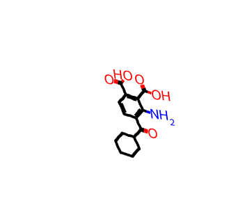 Nc1c(C(=O)C2CCCCC2)ccc(C(=O)O)c1C(=O)O